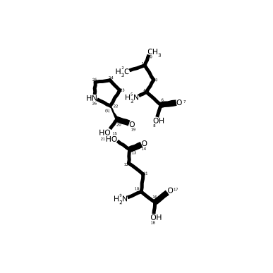 CC(C)CC(N)C(=O)O.NC(CCC(=O)O)C(=O)O.O=C(O)[C@@H]1CCCN1